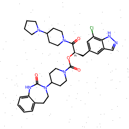 O=C(O[C@H](Cc1cc(Cl)c2[nH]ncc2c1)C(=O)N1CCC(N2CCCC2)CC1)N1CCC(N2CCc3ccccc3NC2=O)CC1